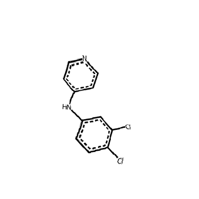 Clc1ccc(Nc2ccncc2)cc1Cl